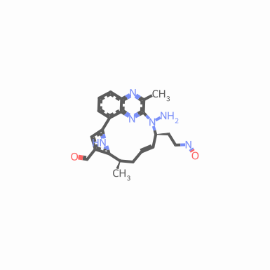 Cc1nc2cccc3c2nc1N(N)[C@@H](CCN=O)/C=C/C[C@@H](C)c1[nH]c-3cc1C=O